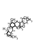 CCC1ON=C(Cc2c(C)cc(C)c(CC3C=CN=C3C)c2C)C1CC